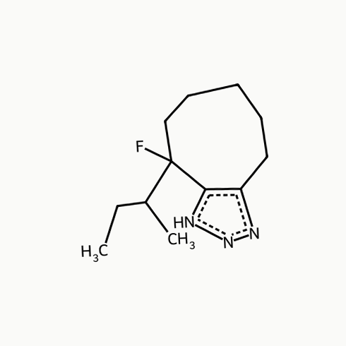 CCC(C)C1(F)CCCCCc2nn[nH]c21